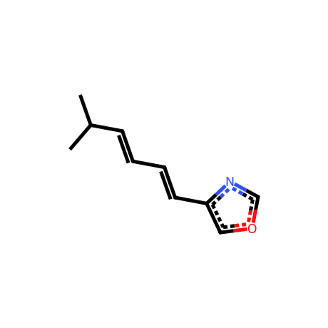 CC(C)/C=C/C=C/c1cocn1